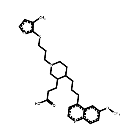 COc1ccc2nccc(CCCC3CCN(CCCSc4sccc4C)CC3CCC(=O)O)c2c1